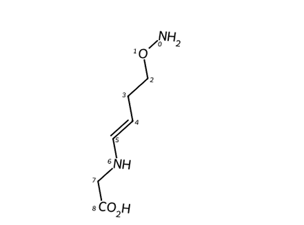 NOCCC=CNCC(=O)O